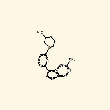 CC1CCCN(c2ccnc(-c3cnc4cnc(C(F)(F)F)cn34)n2)C1